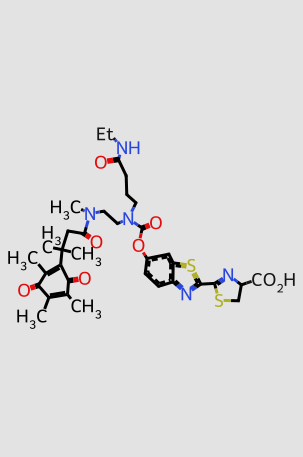 CCNC(=O)CCCN(CCN(C)C(=O)CC(C)(C)C1=C(C)C(=O)C(C)=C(C)C1=O)C(=O)Oc1ccc2nc(C3=NC(C(=O)O)CS3)sc2c1